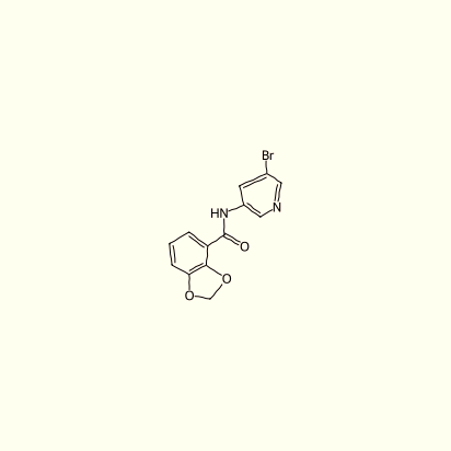 O=C(Nc1cncc(Br)c1)c1cccc2c1OCO2